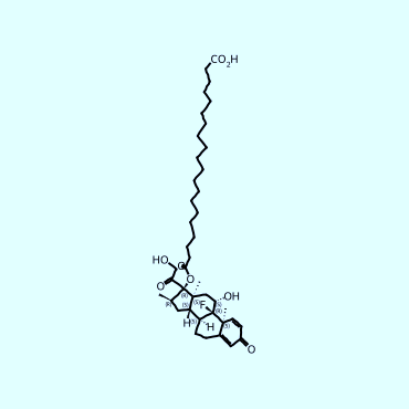 C[C@@H]1C[C@H]2[C@@H]3CCC4=CC(=O)C=C[C@]4(C)[C@@]3(F)[C@@H](O)C[C@]2(C)[C@@]1(OC(=O)CCCCCCCCCCCCCCCCCCC(=O)O)C(=O)CO